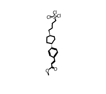 COC(=O)C=Cc1ccc([C@H]2CC[C@H](CCCC[Si](Cl)(Cl)Cl)CC2)cc1